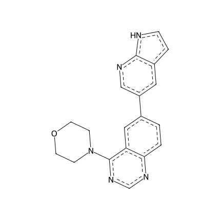 c1nc(N2CCOCC2)c2cc(-c3cnc4[nH]ccc4c3)ccc2n1